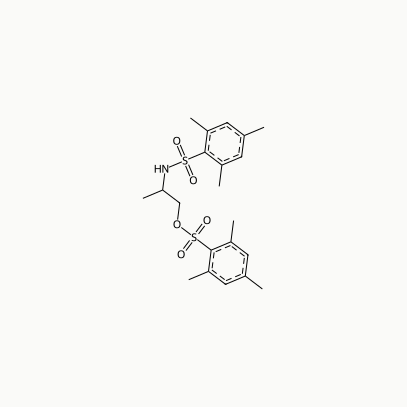 Cc1cc(C)c(S(=O)(=O)NC(C)COS(=O)(=O)c2c(C)cc(C)cc2C)c(C)c1